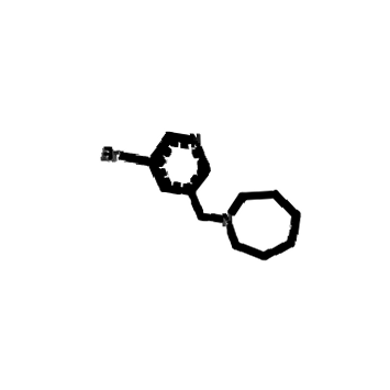 Brc1cncc(CN2CCCCCC2)c1